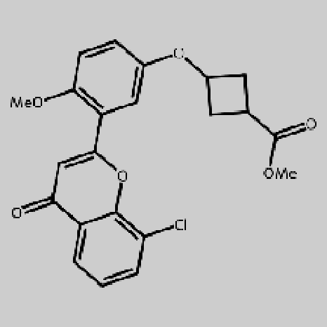 COC(=O)C1CC(Oc2ccc(OC)c(-c3cc(=O)c4cccc(Cl)c4o3)c2)C1